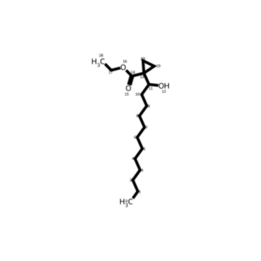 CCCCCCCCCCCC(O)C1(C(=O)OCC)CC1